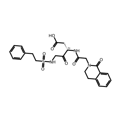 O=C(O)C[C@H](NC(=O)CN1CCc2ccccc2C1=O)C(=O)CNS(=O)(=O)CCc1ccccc1